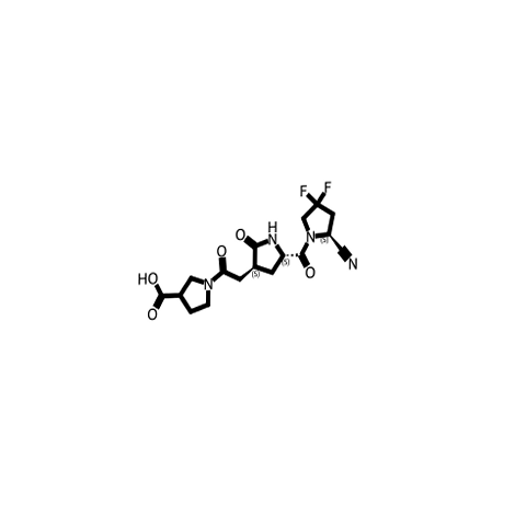 N#C[C@@H]1CC(F)(F)CN1C(=O)[C@@H]1C[C@@H](CC(=O)N2CCC(C(=O)O)C2)C(=O)N1